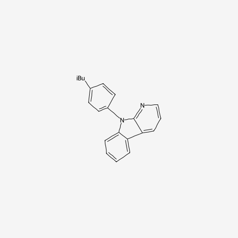 CCC(C)c1ccc(-n2c3ccccc3c3cccnc32)cc1